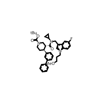 COCCCn1cc(CN(C(=O)[C@H]2CN(C(=O)OC(C)(C)C)CC[C@@H]2c2cccc(-c3ccccc3)c2)C2CC2)c2cc(F)ccc21